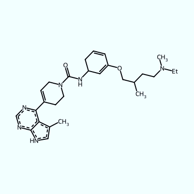 CCN(C)CCC(C)COC1=CC(NC(=O)N2CC=C(c3ncnc4[nH]cc(C)c34)CC2)CC=C1